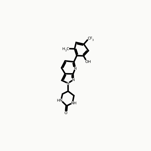 Cc1cc(C(F)(F)F)cc(O)c1-c1ccc2cn(C3CNC(=O)NC3)nc2n1